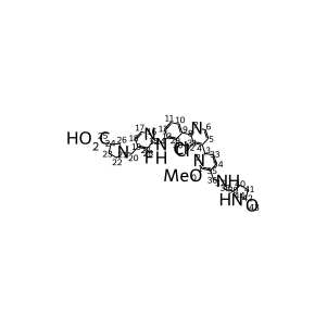 COc1nc(-c2ccnc(-c3cccc(Nc4nccc(CN5CCC(C(=O)O)C5)c4F)c3Cl)c2Cl)ccc1CNCC1CCC(=O)N1